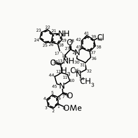 COc1ccccc1C(=O)N1CCC(C(=O)N[C@H](Cc2c[nH]c3ccccc23)C(=O)N2C[C@H](CN(C)C)Cc3cc(Cl)ccc32)CC1